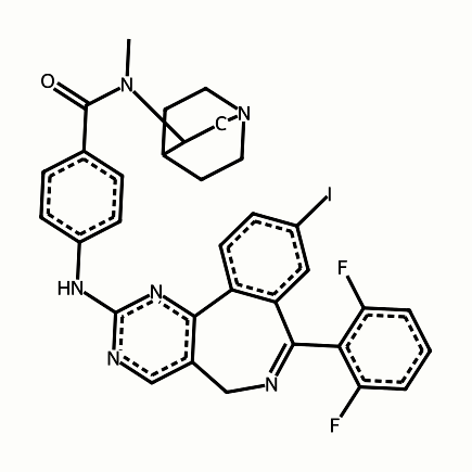 CN(C(=O)c1ccc(Nc2ncc3c(n2)-c2ccc(I)cc2C(c2c(F)cccc2F)=NC3)cc1)C1CN2CCC1CC2